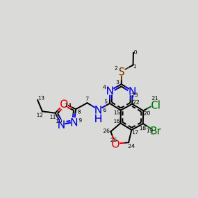 CCSc1nc(NCc2nnc(CC)o2)c2c3c(c(Br)c(Cl)c2n1)COC3